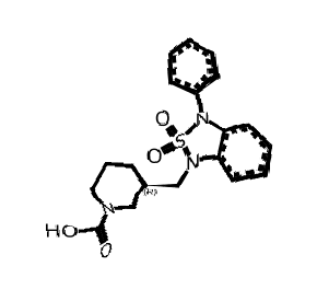 O=C(O)N1CCC[C@@H](CN2c3ccccc3N(c3ccccc3)S2(=O)=O)C1